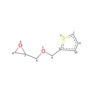 c1csc(COCC2CO2)c1